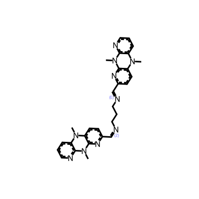 CN1c2cccnc2N(C)c2nc(/C=N\CCC/N=C/c3ccc4c(n3)N(C)c3ncccc3N4C)ccc21